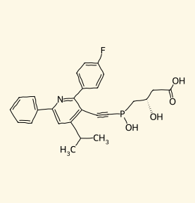 CC(C)c1cc(-c2ccccc2)nc(-c2ccc(F)cc2)c1C#CP(O)C[C@@H](O)CC(=O)O